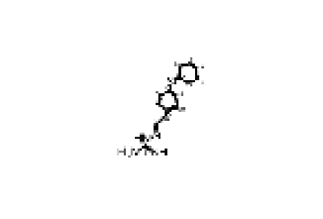 N=C(N)NN=CCc1ccc(SC2CCCCC2)cc1